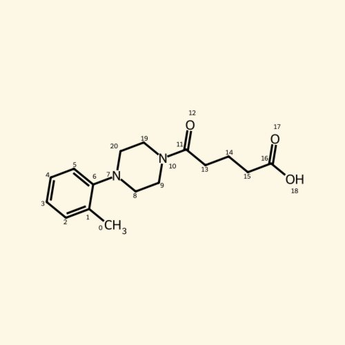 Cc1ccccc1N1CCN(C(=O)CCCC(=O)O)CC1